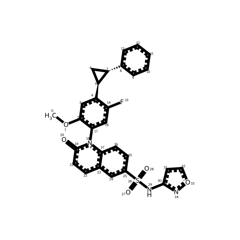 COc1cc([C@H]2C[C@@H]2c2ccccc2)c(F)cc1-n1c(=O)ccc2cc(S(=O)(=O)Nc3ccon3)ccc21